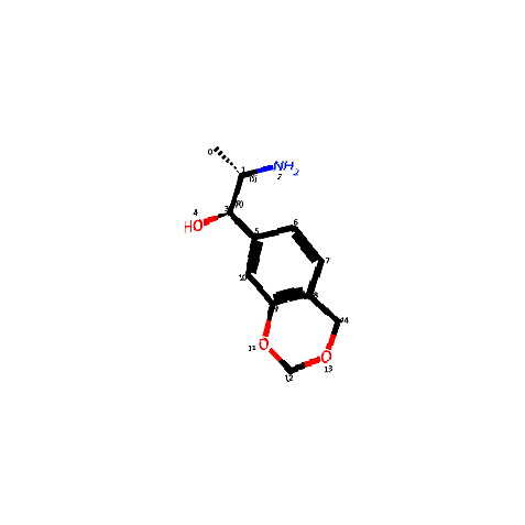 C[C@H](N)[C@H](O)c1ccc2c(c1)OCOC2